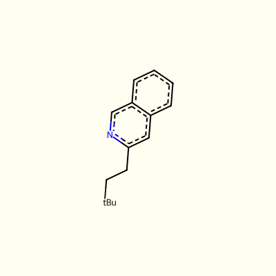 CC(C)(C)CCc1cc2ccccc2cn1